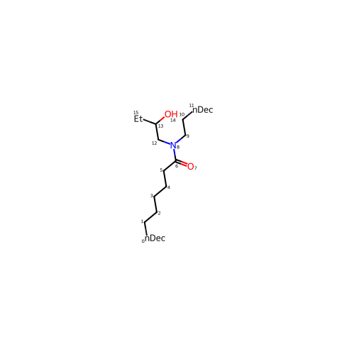 CCCCCCCCCCCCCCCC(=O)N(CCCCCCCCCCCC)CC(O)CC